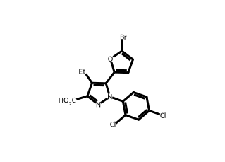 CCc1c(C(=O)O)nn(-c2ccc(Cl)cc2Cl)c1-c1ccc(Br)o1